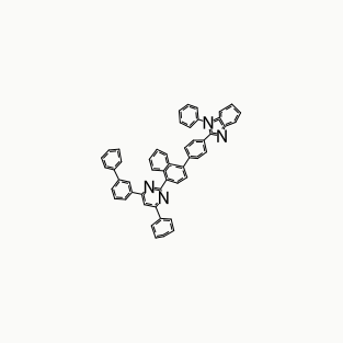 c1ccc(-c2cccc(-c3cc(-c4ccccc4)nc(-c4ccc(-c5ccc(-c6nc7ccccc7n6-c6ccccc6)cc5)c5ccccc45)n3)c2)cc1